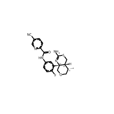 C[C@@H]1COC[C@]2(c3cc(NC(=O)c4ccc(C#N)cn4)ccc3F)N=C(N)SC[C@H]12